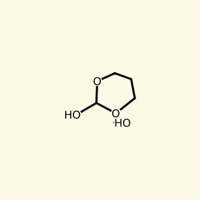 OC1OCCCO1.[OH]